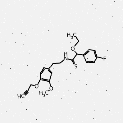 C#CCOc1ccc(CCNC(=S)C(OCC)c2ccc(F)cc2)cc1OC